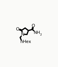 CCCCCCCN1CC(C(N)=O)CC1=O